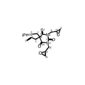 C=CCC1(CC(C)CCC)C(=O)N(CC2CO2)C(=O)N(CC2CO2)C1=O